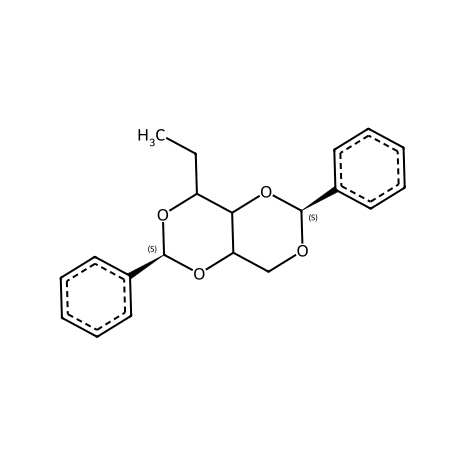 CCC1O[C@H](c2ccccc2)OC2CO[C@H](c3ccccc3)OC12